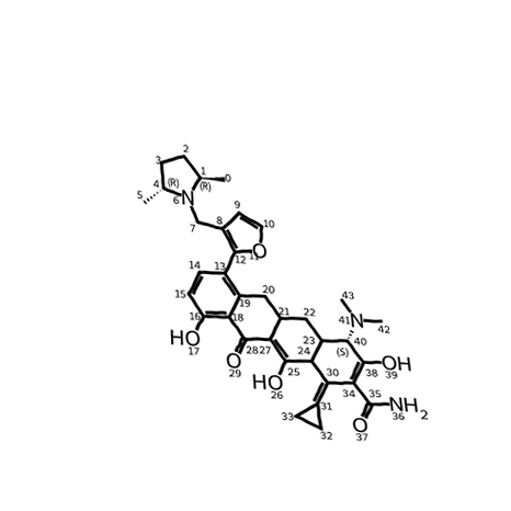 C[C@@H]1CC[C@@H](C)N1Cc1ccoc1-c1ccc(O)c2c1CC1CC3C(C(O)=C1C2=O)C(=C1CC1)C(C(N)=O)=C(O)[C@H]3N(C)C